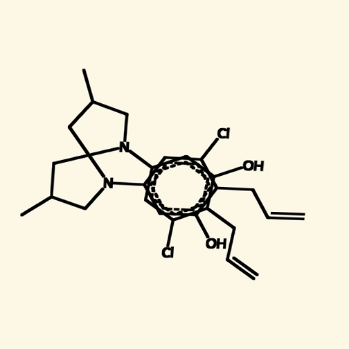 C=CCc1c(O)cc(N2CC(C)CC23CC(C)CN3c2cc(O)c(CC=C)c(Cl)c2)cc1Cl